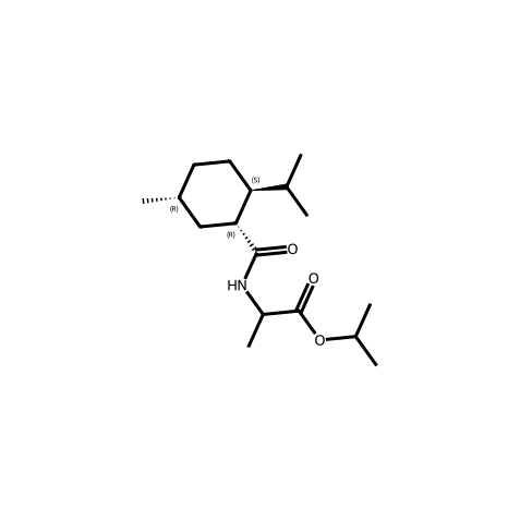 CC(C)OC(=O)C(C)NC(=O)[C@@H]1C[C@H](C)CC[C@H]1C(C)C